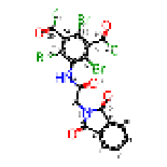 O=C(CN1C(=O)c2ccccc2C1=O)Nc1c(Br)c(C(=O)Cl)c(Br)c(C(=O)Cl)c1Br